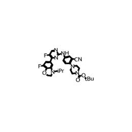 CC(C)N1CCOc2c(F)cc(-c3nc(Nc4ccc(N5CCN(C(=O)OC(C)(C)C)CC5)c(C#N)c4)ncc3F)cc21